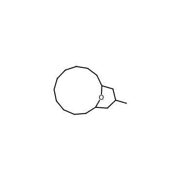 CC1CC2CCCCCCCCCCC(C1)O2